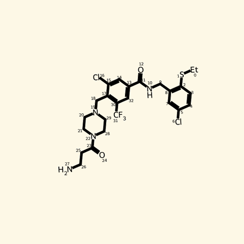 CCSc1ccc(Cl)cc1CNC(=O)c1cc(Cl)c(CN2CCN(C(=O)CCN)CC2)c(C(F)(F)F)c1